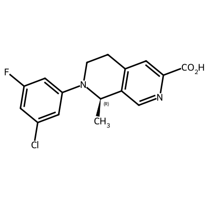 C[C@@H]1c2cnc(C(=O)O)cc2CCN1c1cc(F)cc(Cl)c1